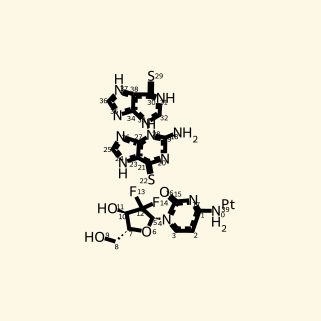 Nc1ccn([C@@H]2O[C@H](CO)[C@@H](O)C2(F)F)c(=O)n1.Nc1nc(=S)c2[nH]cnc2[nH]1.S=c1[nH]cnc2nc[nH]c12.[Pt]